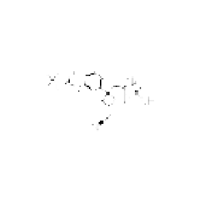 Cn1c(S)nnc1CC1(c2cccc(NC(=O)OC(C)(C)C)c2)CC(CC#N)C1